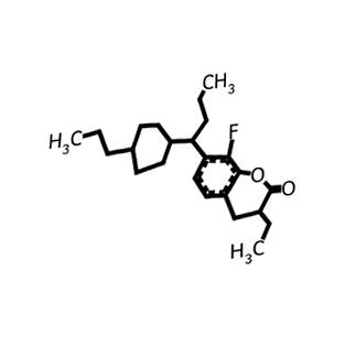 CCCC1CCC(C(CCC)c2ccc3c(c2F)OC(=O)C(CC)C3)CC1